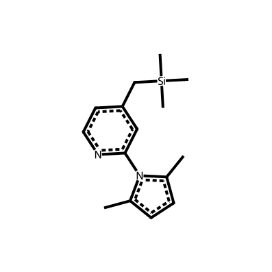 Cc1ccc(C)n1-c1cc(C[Si](C)(C)C)ccn1